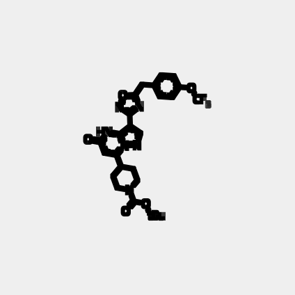 CC(C)(C)OC(=O)N1CCC(c2cc(=O)[nH]c3c(-c4noc(Cc5ccc(OC(F)(F)F)cc5)n4)cnn23)CC1